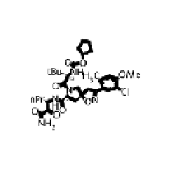 CCC[C@H](NC(=O)[C@@H]1C[C@]2(CC(c3cc(Cl)c(OC)cc3C)=NO2)CN1C(=O)[C@@H](NC(=O)OC1CCCC1)C(C)(C)C)C(=O)C(N)=O